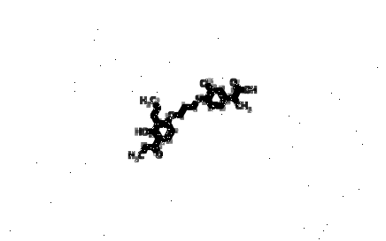 CCCc1c(OCCCSc2ccc(C(C)C(=O)O)cc2Cl)ccc(C(=O)CC)c1O